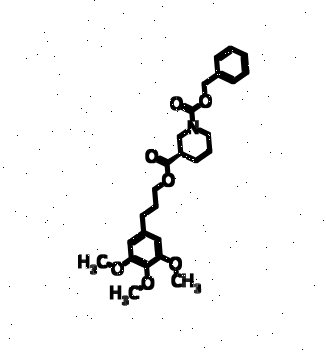 COc1cc(CCCOC(=O)[C@@H]2CCCN(C(=O)OCc3ccccc3)C2)cc(OC)c1OC